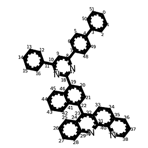 c1ccc(-c2ccc(-c3cc(-c4ccccc4)nc(-c4ccc(-c5c6ccccc6nc6c5ccc5cccnc56)c5ccccc45)n3)cc2)cc1